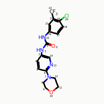 O=C(Nc1ccc(N2CCOCC2)nc1)Nc1ccc(Cl)c(C(F)(F)F)c1